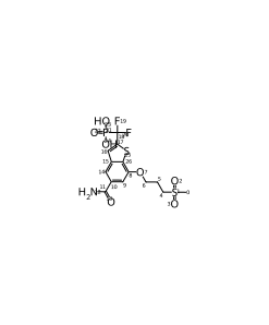 CS(=O)(=O)CCCOc1cc(C(N)=O)cc2cc(C(F)(F)P(=O)(O)O)sc12